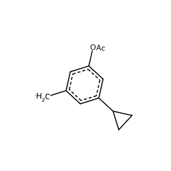 [CH2]c1cc(OC(C)=O)cc(C2CC2)c1